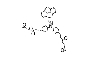 O=C(CCc1ccc(N(N=Cc2cc3cccc4ccc5cccc2c5c43)c2ccc(CCC(=O)OCC3CO3)cc2)cc1)CCC1CO1